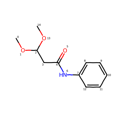 COC(CC(=O)Nc1ccccc1)OC